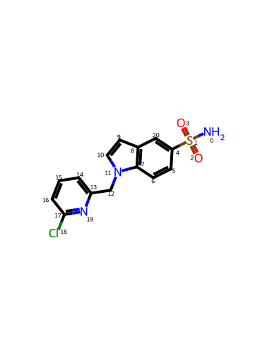 NS(=O)(=O)c1ccc2c(ccn2Cc2cccc(Cl)n2)c1